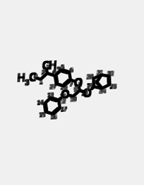 CCC(C)c1ccc(OC(COc2ccccc2)OC2CC3C=CC2C3)cc1